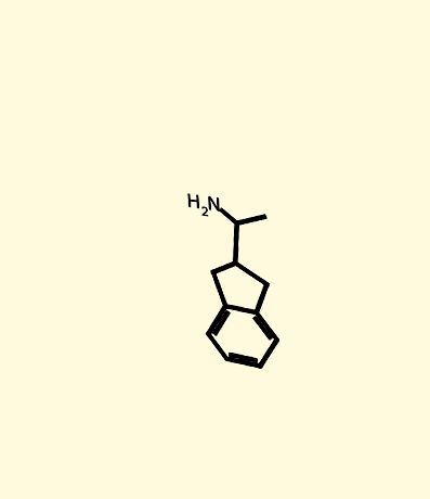 CC(N)C1Cc2ccccc2C1